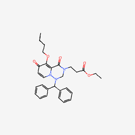 CCCCOc1c2n(ccc1=O)N(C(c1ccccc1)c1ccccc1)CN(CCC(=O)OCC)C2=O